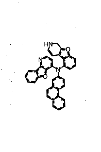 C1=Cc2c(oc3cccc(N(c4ccc5c(ccc6ccccc65)c4)c4ccnc5c4oc4ccccc45)c23)CN1